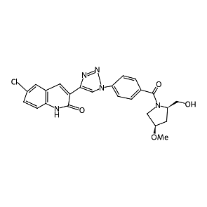 CO[C@@H]1C[C@H](CO)N(C(=O)c2ccc(-n3cc(-c4cc5cc(Cl)ccc5[nH]c4=O)nn3)cc2)C1